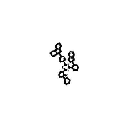 c1ccc(-c2nc(-c3ccc(-c4cc5ccccc5c5ccccc45)cc3)nc(-c3cccc4c3sc3ccccc34)n2)c(-c2ccc3ccccc3c2)c1